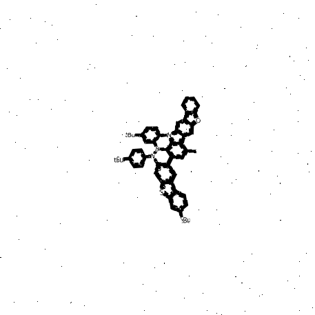 Cc1cc2c3c4c1c1cc5oc6ccccc6c5cc1n4-c1ccc(C(C)(C)C)cc1B3N(c1ccc(C(C)(C)C)cc1)c1cc3sc4cc(C(C)(C)C)ccc4c3cc1-2